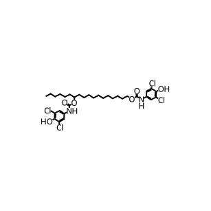 CCCCCCC(CCCCCCCCCCCOC(=O)Nc1cc(Cl)c(O)c(Cl)c1)OC(=O)Nc1cc(Cl)c(O)c(Cl)c1